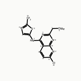 COCc1nc(Nc2cnc(C(F)(F)F)s2)c2ccc(Cl)nc2n1